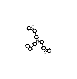 c1cc(-c2ccc3sc4ccccc4c3c2)cc(N(c2ccc(-c3ccc4oc5ccccc5c4c3)cc2)c2ccc(-c3cccc4ccccc34)cc2)c1